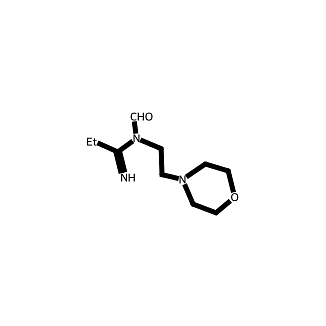 CCC(=N)N(C=O)CCN1CCOCC1